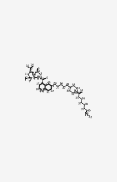 C=C(NCC(=C)N1CC(C)(F)CC1C(=C)C)c1ccnc2ccc(CCCCCC3CCN(C(=C)CCCCC/C=N/C)CC3)cc12